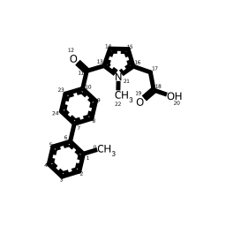 Cc1ccccc1-c1ccc(C(=O)c2ccc(CC(=O)O)n2C)cc1